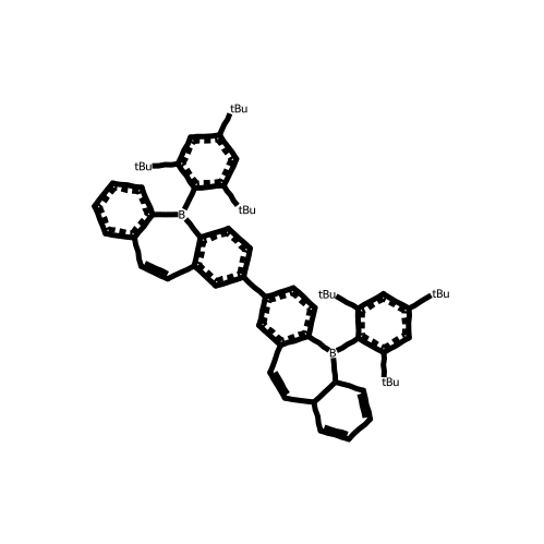 CC(C)(C)c1cc(C(C)(C)C)c(B2c3ccccc3C=Cc3cc(-c4ccc5c(c4)C=CC4C=CC=CC4B5c4c(C(C)(C)C)cc(C(C)(C)C)cc4C(C)(C)C)ccc32)c(C(C)(C)C)c1